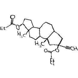 C#CC1(OC(=O)CC)CC2CCC3C(CCC4(C)C(OC(=O)CC)CCC34)C2(C)C1